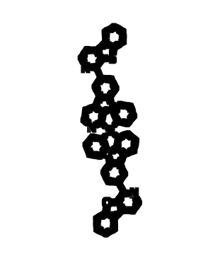 c1ccc([Si](c2ccccc2)(c2cccc3c2oc2ccc(-c4nccc5c4oc4ccccc45)cc23)c2nccc3c2sc2ccc(-c4nccc5c4sc4ccccc45)cc23)cc1